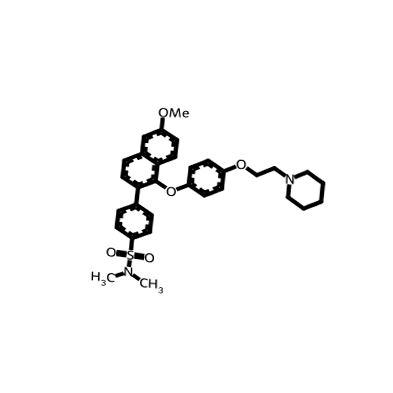 COc1ccc2c(Oc3ccc(OCCN4CCCCC4)cc3)c(-c3ccc(S(=O)(=O)N(C)C)cc3)ccc2c1